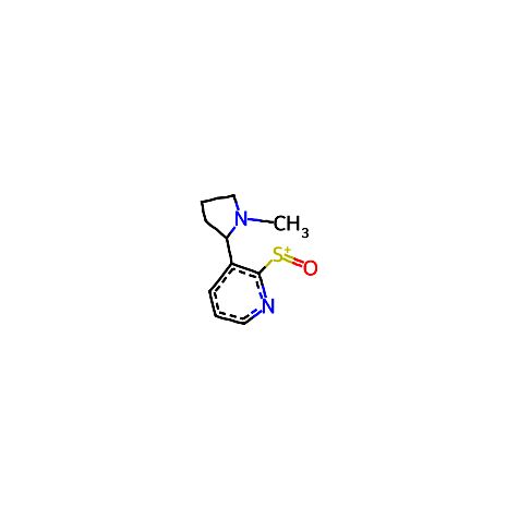 CN1CCCC1c1cccnc1[S+]=O